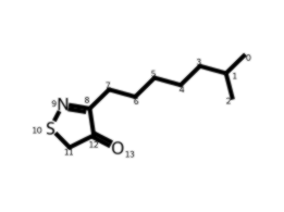 CC(C)CCCCCC1=NSCC1=O